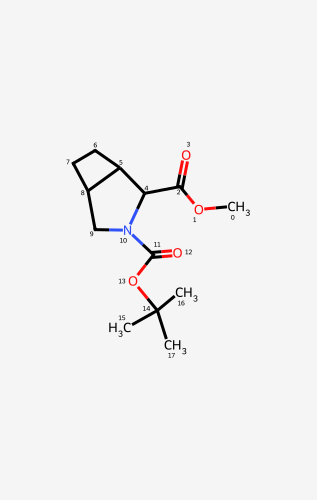 COC(=O)C1C2CCC2CN1C(=O)OC(C)(C)C